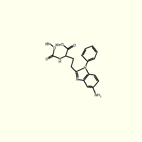 COC(=O)C(CCc1nc2cc(N)ccc2n1-c1ccccc1)NC(=O)OC(C)(C)C